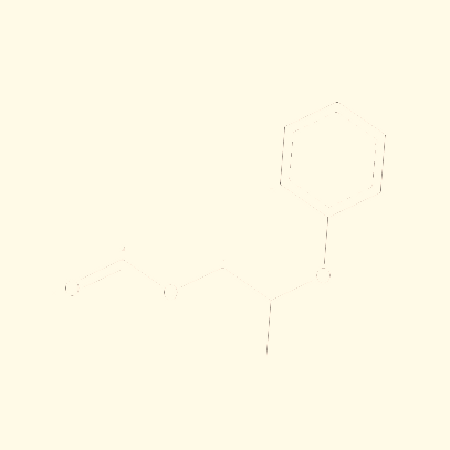 CC(COC=O)Oc1ccccc1